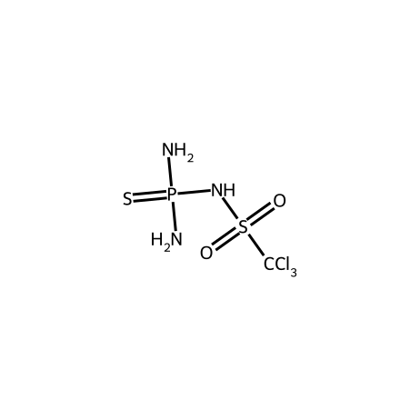 NP(N)(=S)NS(=O)(=O)C(Cl)(Cl)Cl